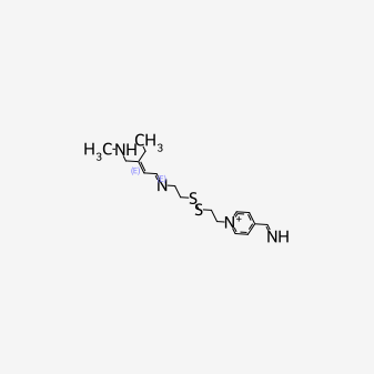 CC/C(=C\C=N\CCSSCC[n+]1ccc(C=N)cc1)CNC